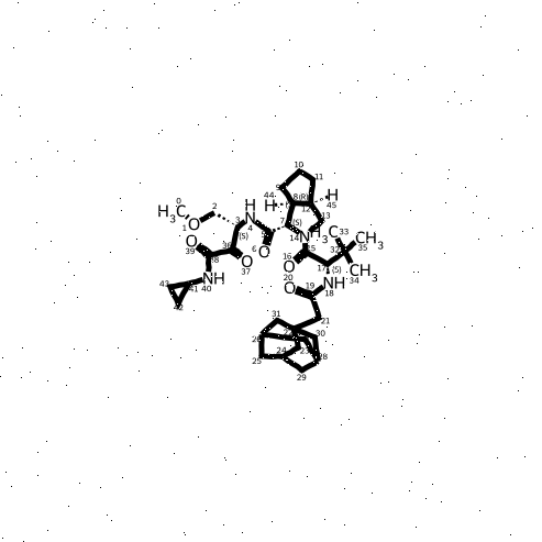 COC[C@H](NC(=O)[C@@H]1[C@H]2CCC[C@H]2CN1C(=O)[C@@H](NC(=O)CC12CC3CC(CC(C3)C1)C2)C(C)(C)C)C(=O)C(=O)NC1CC1